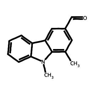 Cc1cc(C=O)cc2c3ccccc3n(C)c12